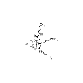 CCCCNC(=O)OC(C)N(CCCCCCN)C(C)OC(=O)NCCCC.Cl.Cl